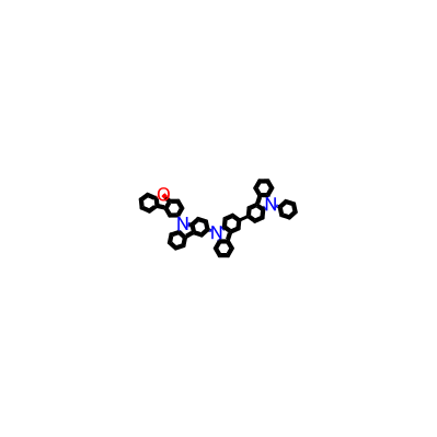 c1ccc(-n2c3ccccc3c3cc(-c4ccc5c(c4)c4ccccc4n5-c4ccc5c(c4)c4ccccc4n5-c4ccc5oc6ccccc6c5c4)ccc32)cc1